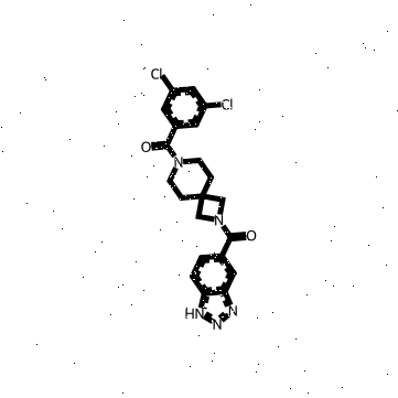 O=C(c1cc(Cl)cc(Cl)c1)N1CCC2(CC1)CN(C(=O)c1ccc3[nH]nnc3c1)C2